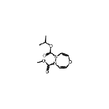 COC(=O)n1ccoccn1C(=O)OC(C)C